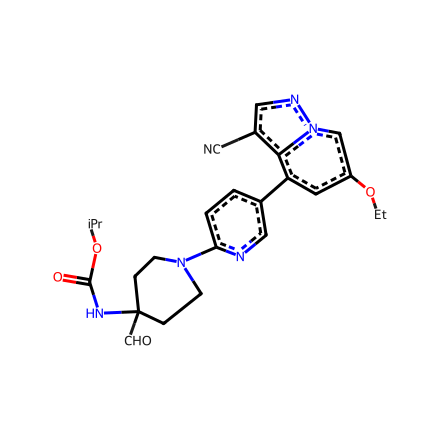 CCOc1cc(-c2ccc(N3CCC(C=O)(NC(=O)OC(C)C)CC3)nc2)c2c(C#N)cnn2c1